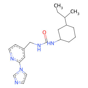 CCC(C)C1CCCC(NC(=O)NCc2ccnc(-n3ccnc3)c2)C1